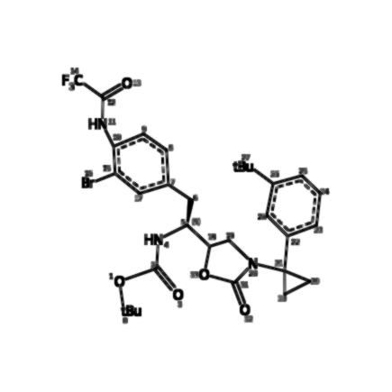 CC(C)(C)OC(=O)N[C@@H](Cc1ccc(NC(=O)C(F)(F)F)c(Br)c1)C1CN(C2(c3cccc(C(C)(C)C)c3)CC2)C(=O)O1